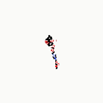 CCOC(=O)COCCN1CCN(CCOCCOC2CCC3(CC2)OC(=O)C(c2c(C)cc(C)cc2C)=C3O)CC1